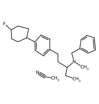 CC#N.CCC(CCc1ccc(C2CCC(F)CC2)cc1)N(C)Cc1ccccc1